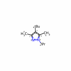 Cc1nn(C(C)C)c(C)c1C(C)(C)C